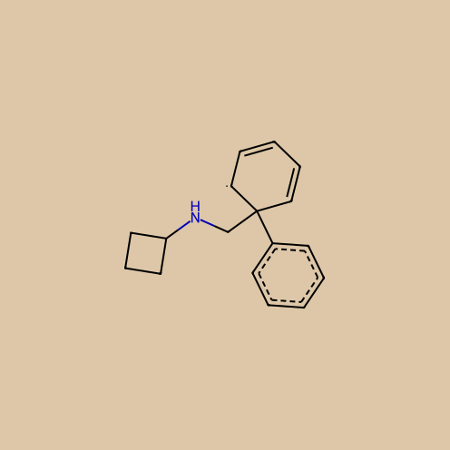 [CH]1C=CC=CC1(CNC1CCC1)c1ccccc1